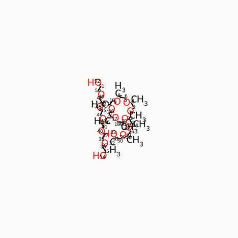 COCC(C)OCC(C)OCC(C)OCC(C)OCC(C)OCC(C)OCC(C)OCC(C)O.OCCOCCOCCOCCOCCOCCO